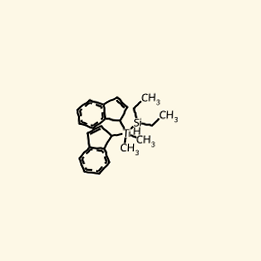 CC[SiH](CC)[Ti]([CH3])([CH3])([CH]1C=Cc2ccccc21)[CH]1C=Cc2ccccc21